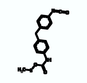 CSOC(=O)Nc1ccc(Cc2ccc(N=C=O)cc2)cc1